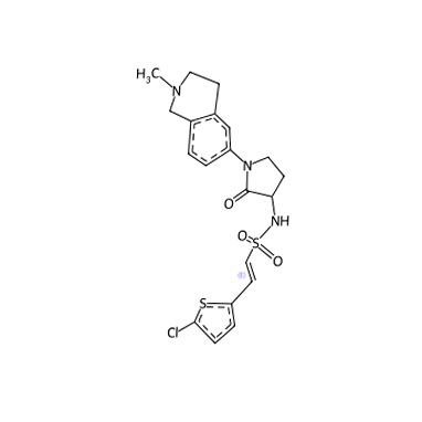 CN1CCc2cc(N3CCC(NS(=O)(=O)/C=C/c4ccc(Cl)s4)C3=O)ccc2C1